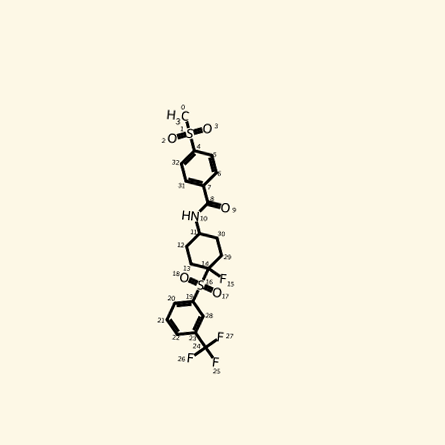 CS(=O)(=O)c1ccc(C(=O)NC2CCC(F)(S(=O)(=O)c3cccc(C(F)(F)F)c3)CC2)cc1